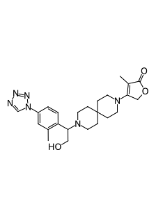 CC1=C(N2CCC3(CC2)CCN(C(CO)c2ccc(-n4cnnn4)cc2C)CC3)COC1=O